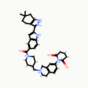 CC1(C)CCc2c(-c3cc4cc(C(=O)N5CCC(CN6CCc7ccc(N8C(=O)CCCC8=O)cc7C6)CC5)ccc4[nH]3)n[nH]c2C1